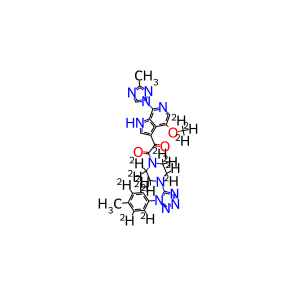 [2H]c1c([2H])c(-n2nnnc2N2C([2H])([2H])C([2H])([2H])N(C(=O)C(=O)c3c[nH]c4c(-n5cnc(C)n5)ncc(OC([2H])([2H])[2H])c34)C([2H])([2H])C2([2H])[2H])c([2H])c([2H])c1C